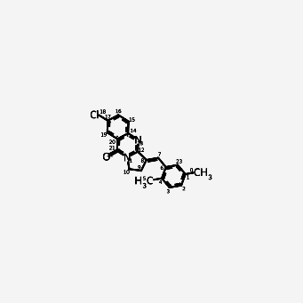 Cc1ccc(C)c(C=C2CCn3c2nc2ccc(Cl)cc2c3=O)c1